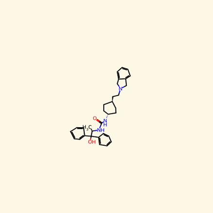 C[C@@H](NC(=O)N[C@H]1CC[C@H](CCN2Cc3ccccc3C2)CC1)C(O)(c1ccccc1)c1ccccc1